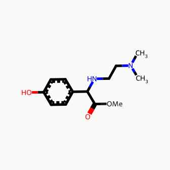 COC(=O)C(NCCN(C)C)c1ccc(O)cc1